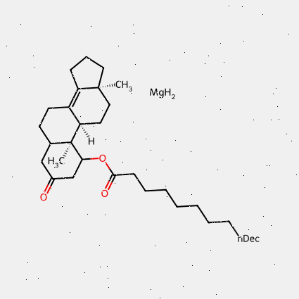 CCCCCCCCCCCCCCCCCC(=O)OC1CC(=O)CC2CCC3=C4CCC[C@@]4(C)CC[C@H]3[C@]21C.[MgH2]